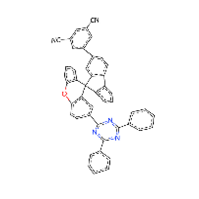 N#Cc1cc(C#N)cc(-c2ccc3c(c2)C2(c4ccccc4Oc4ccc(-c5nc(-c6ccccc6)nc(-c6ccccc6)n5)cc42)c2ccccc2-3)c1